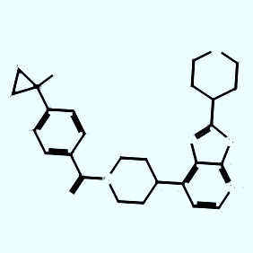 O=C(c1ccc(C2(C(F)(F)F)CC2)cc1)N1CCC(c2ccnc3[nH]c(C4CCOCC4)nc23)CC1